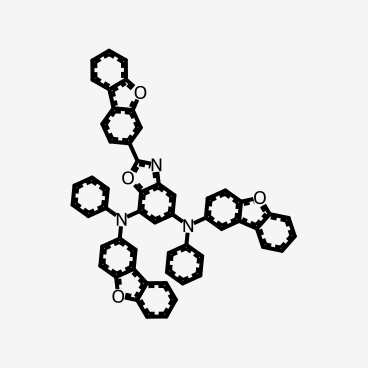 c1ccc(N(c2cc(N(c3ccccc3)c3ccc4oc5ccccc5c4c3)c3oc(-c4ccc5c(c4)oc4ccccc45)nc3c2)c2ccc3oc4ccccc4c3c2)cc1